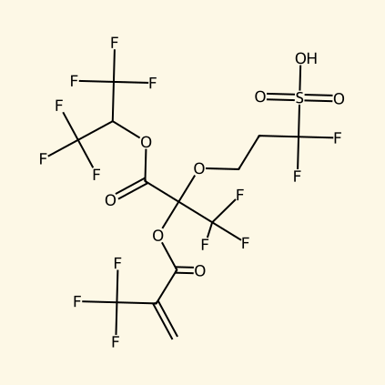 C=C(C(=O)OC(OCCC(F)(F)S(=O)(=O)O)(C(=O)OC(C(F)(F)F)C(F)(F)F)C(F)(F)F)C(F)(F)F